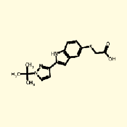 CC(C)(C)n1ccc(-c2cc3cc(SCC(=O)O)ccc3[nH]2)n1